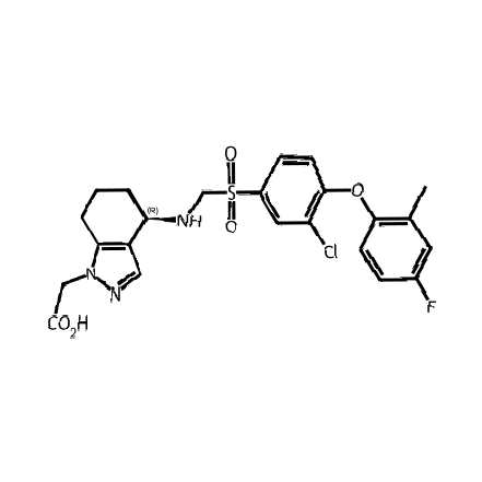 Cc1cc(F)ccc1Oc1ccc(S(=O)(=O)CN[C@@H]2CCCc3c2cnn3CC(=O)O)cc1Cl